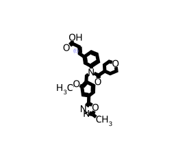 COc1cc(-c2nnc(C)o2)ccc1CN(C(=O)C1CCOCC1)c1cccc(/C=C/C(=O)O)c1